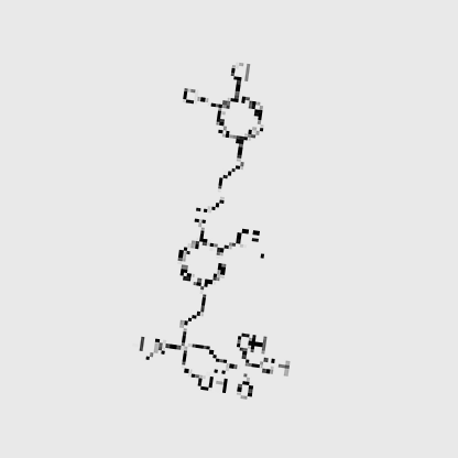 NC(CO)(CCc1ccc(OCCCc2ccc(Cl)c(Cl)c2)c(C(F)(F)F)c1)COP(=O)(O)O